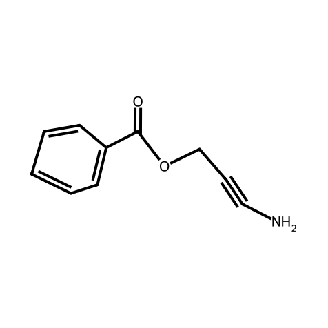 NC#CCOC(=O)c1ccccc1